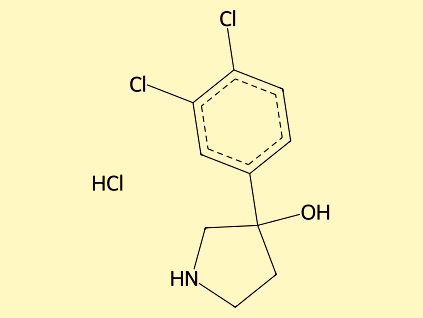 Cl.OC1(c2ccc(Cl)c(Cl)c2)CCNC1